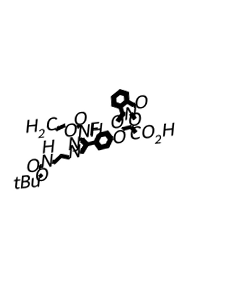 C=CCOC(=O)Nc1nn(CCCNC(=O)OC(C)(C)C)cc1-c1ccc(OCC(ON2C(=O)c3ccccc3C2=O)C(=O)O)cc1F